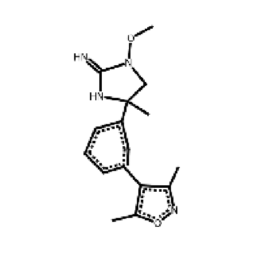 CON1CC(C)(c2cccc(-c3c(C)noc3C)c2)NC1=N